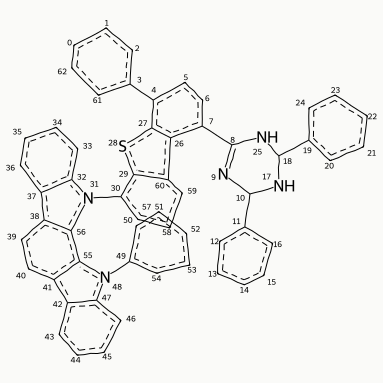 c1ccc(-c2ccc(C3=NC(c4ccccc4)NC(c4ccccc4)N3)c3c2sc2c(-n4c5ccccc5c5ccc6c7ccccc7n(-c7ccccc7)c6c54)cccc23)cc1